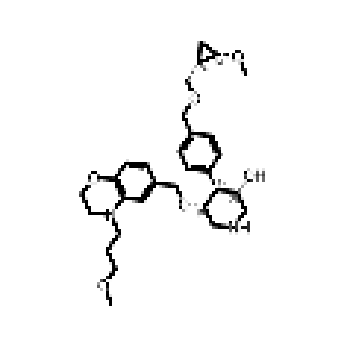 COCCCN1CCOc2ccc(CO[C@H]3CNC[C@@H](O)[C@@H]3c3ccc(COC[C@@H]4C[C@@H]4OC)cc3)cc21